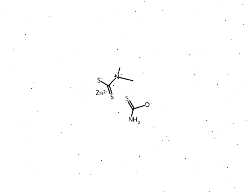 CN(C)C(=S)[S-].NC([O-])=S.[Zn+2]